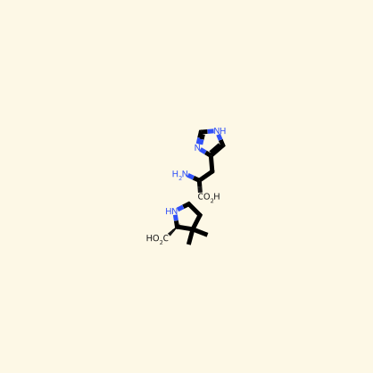 CC1(C)CCN[C@@H]1C(=O)O.NC(Cc1c[nH]cn1)C(=O)O